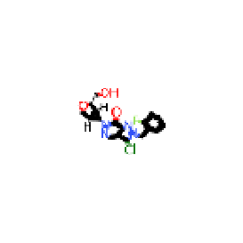 O=c1c2nn(Cc3ccccc3F)c(Cl)c2cnn1[C@@H]1[C@H]2CO[C@H](CO)[C@H]21